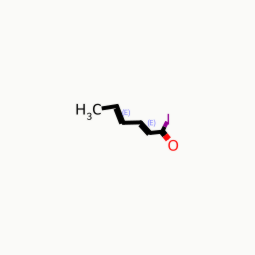 C/C=C/C=C/C(=O)I